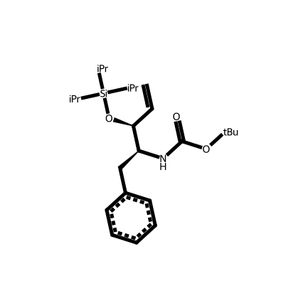 C=C[C@H](O[Si](C(C)C)(C(C)C)C(C)C)[C@H](Cc1ccccc1)NC(=O)OC(C)(C)C